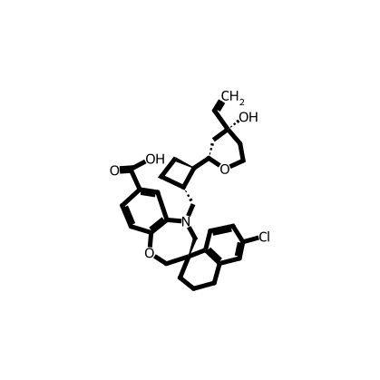 C=C[C@@]1(O)CCO[C@H]([C@@H]2CC[C@H]2CN2C[C@@]3(CCCc4cc(Cl)ccc43)COc3ccc(C(=O)O)cc32)C1